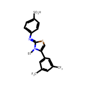 CCn1c(-c2cc(C(F)(F)F)cc(C(F)(F)F)c2)cs/c1=N\c1ccc(S(=O)(=O)O)cc1